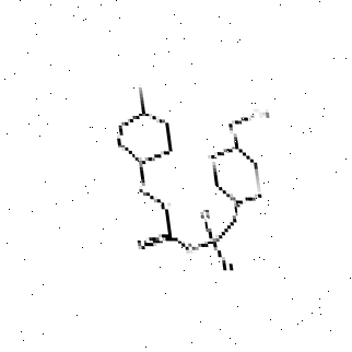 CCC(CC)(CC1CCC(CO)CC1)OC(=O)OCC1CCC(C)CC1